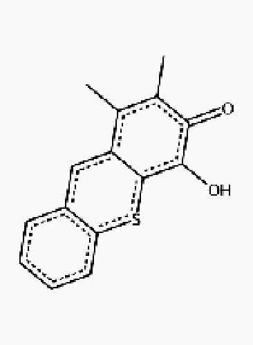 Cc1c2cc3ccccc3sc-2c(O)c(=O)c1C